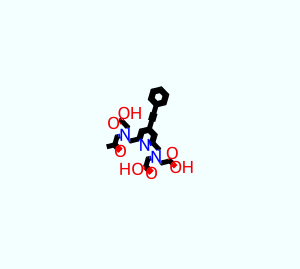 CC(=O)CN(CC(=O)O)Cc1cc(C#Cc2ccccc2)cc(CN(CC(=O)O)CC(=O)O)n1